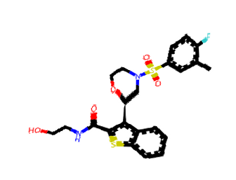 Cc1cc(S(=O)(=O)N2CCO[C@H](c3c(C(=O)NCCO)sc4ccccc34)C2)ccc1F